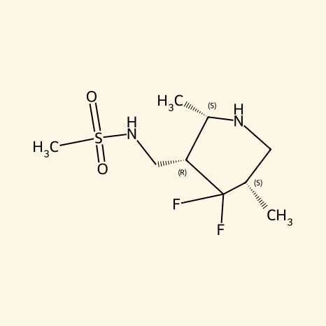 C[C@@H]1NC[C@H](C)C(F)(F)[C@@H]1CNS(C)(=O)=O